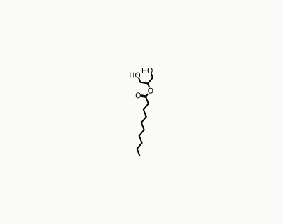 CCCCCCCCCC(=O)OC(CO)CO